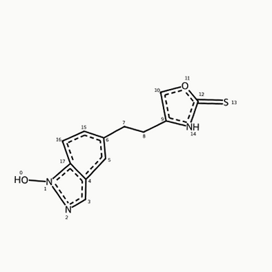 On1ncc2cc(CCc3coc(=S)[nH]3)ccc21